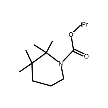 CC(C)OC(=O)N1CCCC(C)(C)C1(C)C